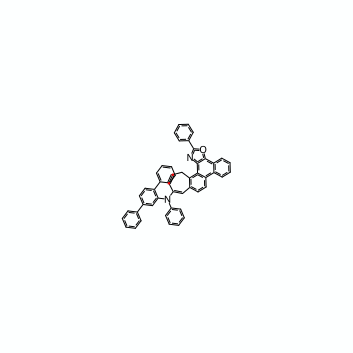 C1#CC(N(c2ccccc2)c2cc(-c3ccccc3)ccc2C2=CC=CCC2)=Cc2ccc3c4ccccc4c4oc(-c5ccccc5)nc4c3c2C1